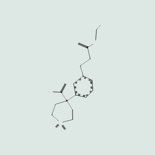 CCOC(=O)CCc1cccc(C2(C(=O)O)CCS(=O)(=O)CC2)c1